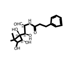 CC1(C)C(O)[C@@H](O)[C@@]1(O)[C@H](O)[C@H](C=O)NC(=O)CCc1ccccc1